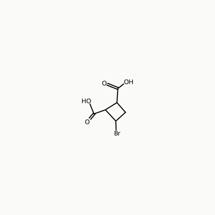 O=C(O)C1CC(Br)C1C(=O)O